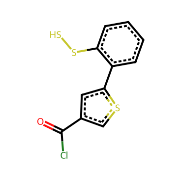 O=C(Cl)c1csc(-c2ccccc2SS)c1